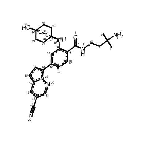 CC(C)(N)CCNC(=O)c1cnc(-c2ccc3cc(C#N)cnn23)cc1NC12CCC(O)(CC1)CC2